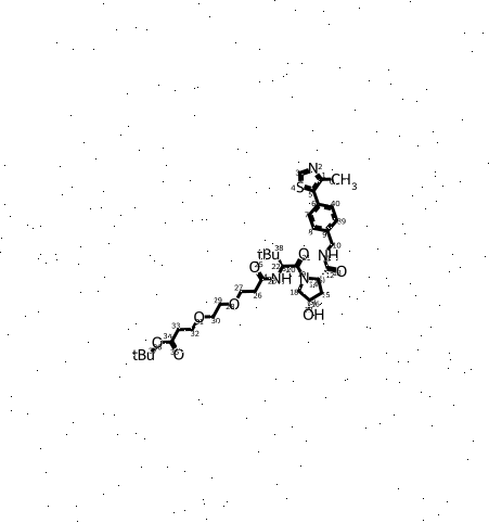 Cc1ncsc1-c1ccc(CNC(=O)[C@@H]2C[C@H](O)CN2C(=O)[C@@H](NC(=O)CCOCCOCCC(=O)OC(C)(C)C)C(C)(C)C)cc1